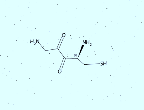 NCC(=O)C(=O)[C@@H](N)CS